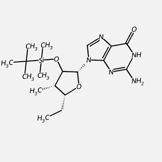 CC[C@H]1O[C@@H](n2cnc3c(=O)[nH]c(N)nc32)C(O[Si](C)(C)C(C)(C)C)[C@H]1C